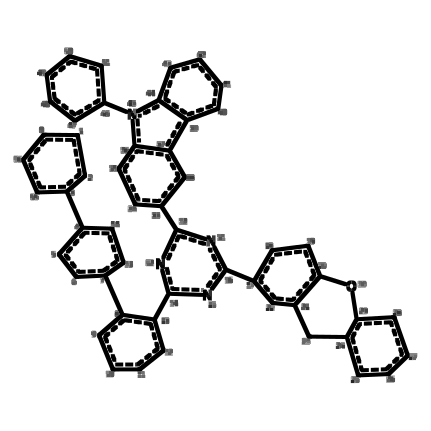 c1ccc(-c2ccc(-c3ccccc3-c3nc(-c4ccc5c(c4)Cc4ccccc4O5)nc(-c4ccc5c(c4)c4ccccc4n5-c4ccccc4)n3)cc2)cc1